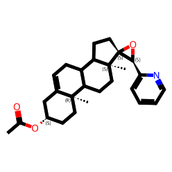 CC(=O)O[C@H]1CC[C@@]2(C)C(=CCC3C2CC[C@@]2(C)C3CC[C@]23O[C@H]3c2ccccn2)C1